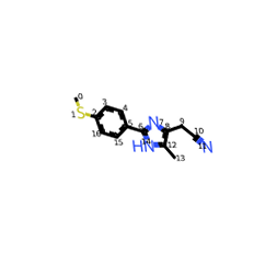 CSc1ccc(-c2nc(CC#N)c(C)[nH]2)cc1